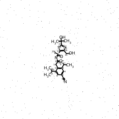 CC(C)c1cc(C#N)cc(C(C)C)c1CC(=O)N=S(=O)(I)c1sc(C(C)(C)O)nc1CO